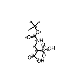 CC(C)(C)OC(=O)NCC(C(=O)O)S(=O)(=O)O